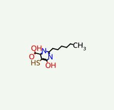 CCCCCCc1nc(O)c(S)c(C(=O)O)n1